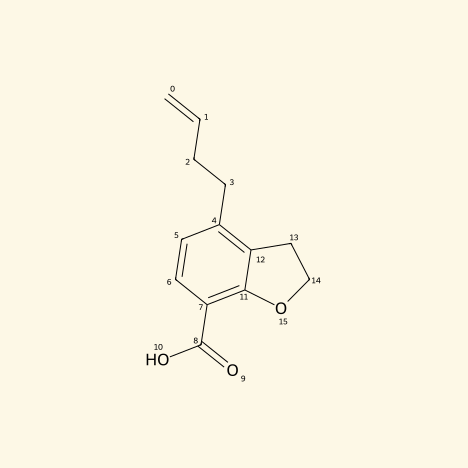 C=CCCc1ccc(C(=O)O)c2c1CCO2